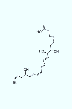 C=C(O)CC/C=C\C[C@H](O)[C@H](O)/C=C/C=C/C=C\C=C\[C@H](O)C/C=C\CC